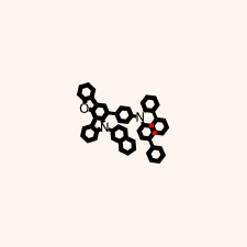 c1ccc(-c2ccc(N(c3ccc(-c4cc5c6ccccc6oc5c5c6ccccc6n(-c6ccc7ccccc7c6)c45)cc3)c3ccccc3-c3ccccc3)cc2)cc1